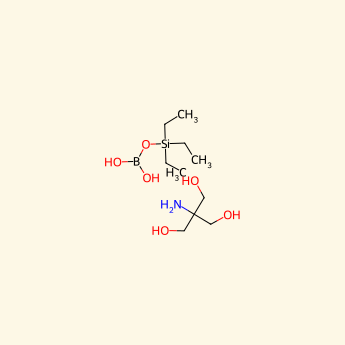 CC[Si](CC)(CC)OB(O)O.NC(CO)(CO)CO